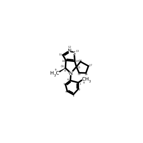 Cc1ccccc1N1[C@@H](C)c2cnsc2C12CCCC2